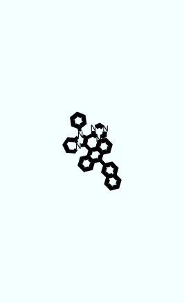 C1=CCN2C(=C1)N(c1ccccc1)C(c1ncncn1)=C2c1c2ccccc2c(-c2ccc3ccccc3c2)c2ccccc12